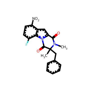 CN1C(=O)c2cc3c([N+](=O)[O-])ccc(F)c3n2C(=O)C1(C)Cc1ccccc1